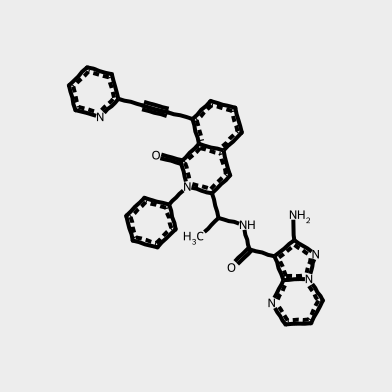 CC(NC(=O)c1c(N)nn2cccnc12)c1cc2cccc(C#Cc3ccccn3)c2c(=O)n1-c1ccccc1